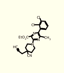 C#CCC1(C#N)CCN(c2nc(C)c(-c3cccc(Cl)c3Cl)nc2C(=O)OCC)CC1